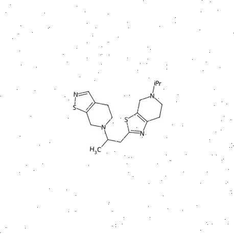 CC(C)N1CCc2nc(CC(C)N3CCc4cnsc4C3)sc2C1